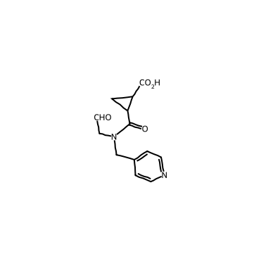 O=CCN(Cc1ccncc1)C(=O)C1CC1C(=O)O